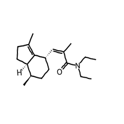 CCN(CC)C(=O)C(C)=C[C@@H]1CC[C@@H](C)[C@H]2CCC(C)=C12